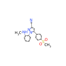 CNc1ccccc1-n1nc(C#N)cc1-c1ccc(S(C)(=O)=O)cc1